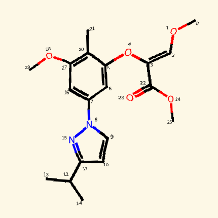 CO/C=C(\Oc1cc(-n2ccc(C(C)C)n2)cc(OC)c1C)C(=O)OC